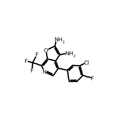 Nc1oc2c(C(F)(F)F)ncc(-c3ccc(F)c(Cl)c3)c2c1N